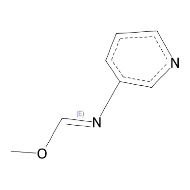 CO/C=N/c1cccnc1